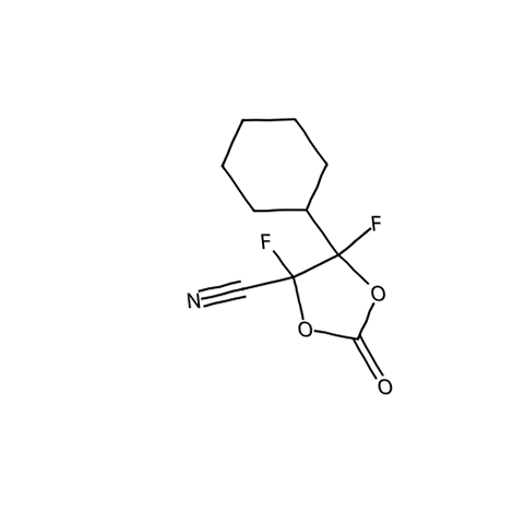 N#CC1(F)OC(=O)OC1(F)C1CCCCC1